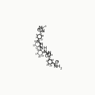 Cc1noc(-c2ccc(N3CCC[C@H](N[C@@H]4CCCC[C@H]4Nc4ncc(-c5cccc(C(N)=O)c5)o4)C3)cc2)n1